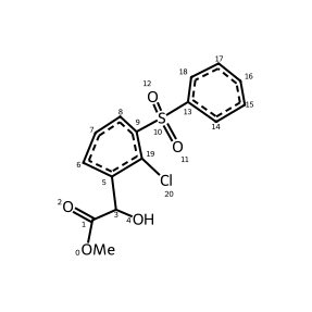 COC(=O)C(O)c1cccc(S(=O)(=O)c2ccccc2)c1Cl